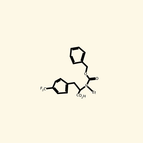 CCN(C(=O)OCc1ccccc1)C(Cc1ccc(C(F)(F)F)cc1)C(=O)O